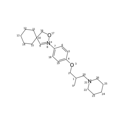 CC(COc1ccc([N+]2=CC3(CCCCC3)CO2)cc1)CN1CCCCC1